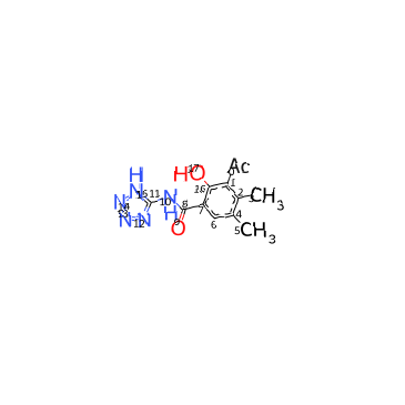 CC(=O)c1c(C)c(C)cc(C(=O)Nc2nnn[nH]2)c1O